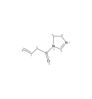 C=CCC(=O)N1C=NCC1